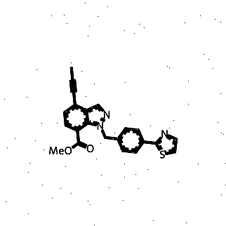 CC#Cc1ccc(C(=O)OC)c2c1cnn2Cc1ccc(-c2nccs2)cc1